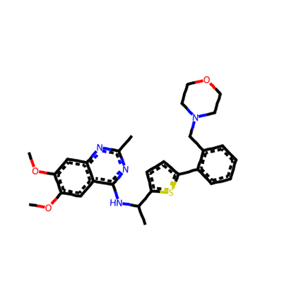 COc1cc2nc(C)nc(NC(C)c3ccc(-c4ccccc4CN4CCOCC4)s3)c2cc1OC